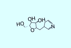 OC[C@H]1OC(CC2C=NC=CC2)[C@H](O)[C@@H]1O